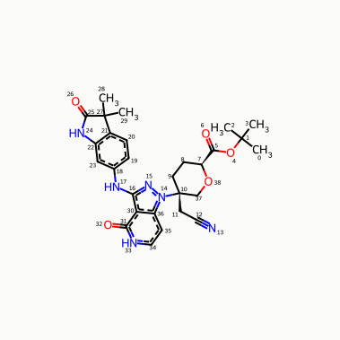 CC(C)(C)OC(=O)[C@@H]1CC[C@@](CC#N)(n2nc(Nc3ccc4c(c3)NC(=O)C4(C)C)c3c(=O)[nH]ccc32)CO1